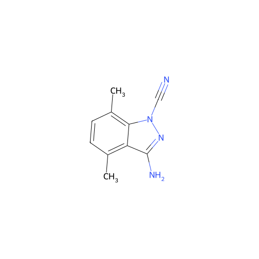 Cc1ccc(C)c2c1c(N)nn2C#N